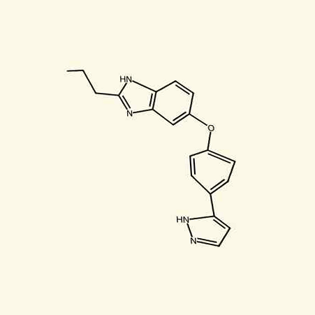 CCCc1nc2cc(Oc3ccc(-c4ccn[nH]4)cc3)ccc2[nH]1